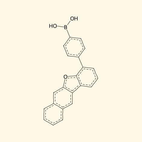 OB(O)c1ccc(-c2cccc3c2oc2cc4ccccc4cc23)cc1